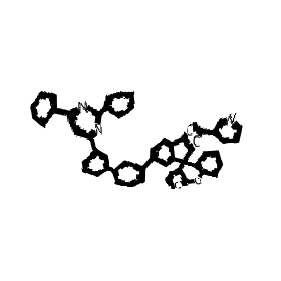 c1ccc(-c2cc(-c3cccc(-c4cccc(-c5ccc6c(c5)C5(c7ccccc7Oc7ccccc75)c5cc(-c7cccnc7)ccc5-6)c4)c3)nc(-c3ccccc3)n2)cc1